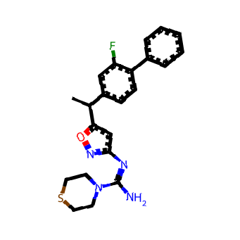 CC(c1ccc(-c2ccccc2)c(F)c1)c1cc(N=C(N)N2CCSCC2)no1